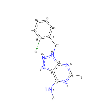 CNc1nc(C)nc2c1nnn2Cc1ccccc1F